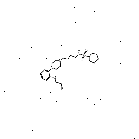 O=S(=O)(NCCCCN1CCN(c2ccccc2OCCF)CC1)C1CCCCC1